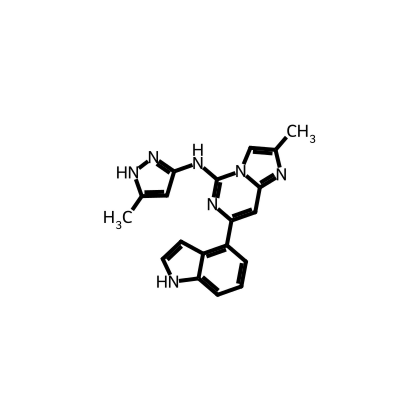 Cc1cn2c(Nc3cc(C)[nH]n3)nc(-c3cccc4[nH]ccc34)cc2n1